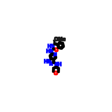 COC[C@@H](NC(=O)Nc1cc2[nH]nc(NC3CCOCC3)c2cn1)c1ccccc1